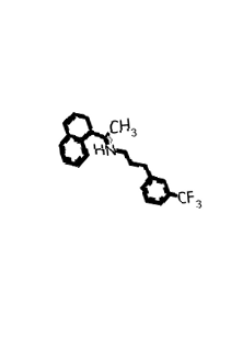 C[C@@H](NCCCc1cccc(C(F)(F)F)c1)C1CC=Cc2ccccc21